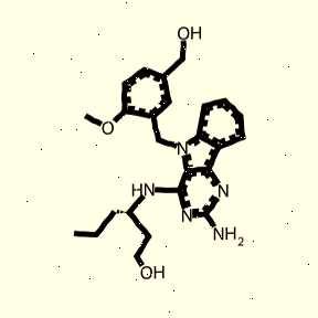 CCC[C@@H](CCO)Nc1nc(N)nc2c3ccccc3n(Cc3cc(CO)ccc3OC)c12